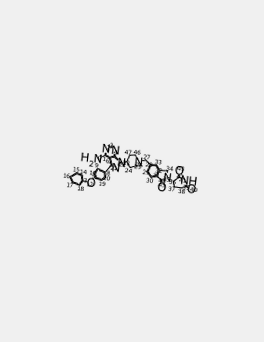 Nc1ncnc2c1c(-c1ccc(Oc3ccccc3)cc1)nn2C1CCN(Cc2ccc3c(c2)CN([C@H]2CCC(=O)NC2=O)C3=O)CC1